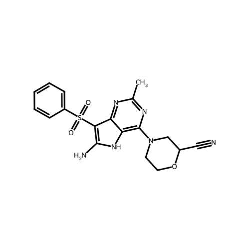 Cc1nc(N2CCOC(C#N)C2)c2[nH]c(N)c(S(=O)(=O)c3ccccc3)c2n1